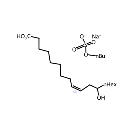 CCCCCCC(O)C/C=C\CCCCCCCC(=O)O.CCCCOS(=O)(=O)[O-].[Na+]